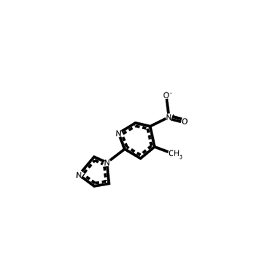 Cc1cc(-n2ccnc2)ncc1[N+](=O)[O-]